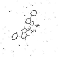 CC1=Cc2c(-c3ccccc3)cc(C)c(C)c2[CH]1[Zr]([CH]1C(C(C)C)=Cc2c(-c3ccccc3)cccc21)[SiH](C)C